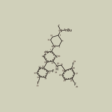 CCCCN(C)C1CCN(c2ncc(-c3ccc(F)cc3F)c(NCc3ccc(F)cc3F)n2)CC1